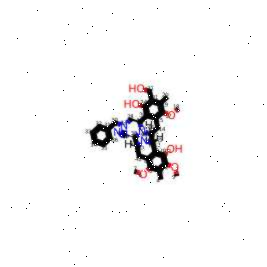 COc1c(C)c(OC)c2c(c1O)[C@H]1[C@@H]3Cc4c(OC)c(C)c(CO)c(O)c4[C@H](CNCc4ccccc4)N3[C@@H](C#N)[C@H](C2)N1C